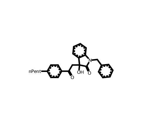 CCCCCc1ccc(C(=O)CC2(O)C(=O)N(Cc3ccccc3)c3ccccc32)cc1